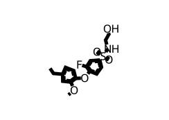 CCc1ccc(Oc2ccc(S(=O)(=O)NCCO)cc2F)c(OC)c1